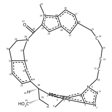 Cc1c2ccc3c1nnn3CCCCCCc1ccc3c(c1)cc(n3C)C(=O)N1CCc3ccc(cc3C1)[C@@H]2[C@H](C)C(=O)O